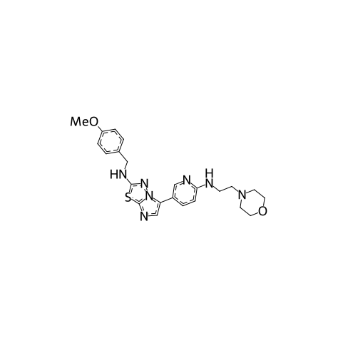 COc1ccc(CNc2nn3c(-c4ccc(NCCN5CCOCC5)nc4)cnc3s2)cc1